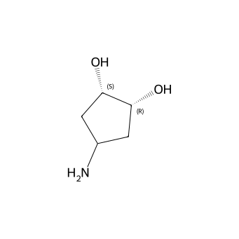 NC1C[C@@H](O)[C@@H](O)C1